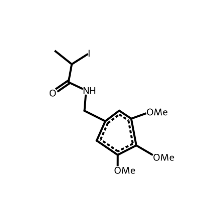 COc1cc(CNC(=O)C(C)I)cc(OC)c1OC